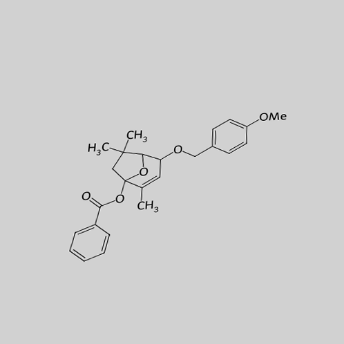 COc1ccc(COC2C=C(C)C3(OC(=O)c4ccccc4)CC(C)(C)C2O3)cc1